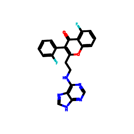 O=c1c(-c2ccccc2F)c(CCNc2ncnc3[nH]cnc23)oc2cccc(F)c12